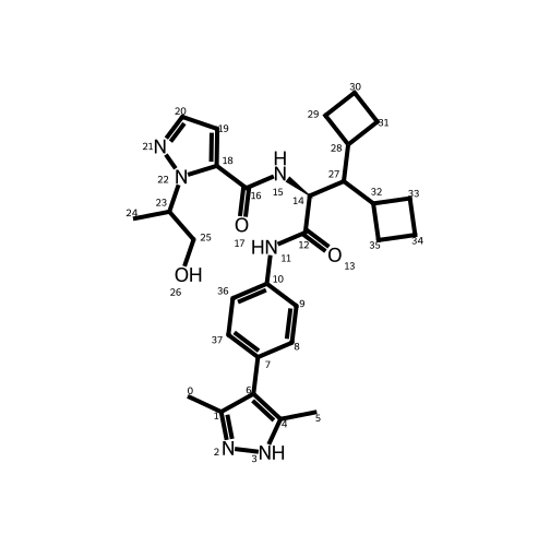 Cc1n[nH]c(C)c1-c1ccc(NC(=O)[C@@H](NC(=O)c2ccnn2C(C)CO)C(C2CCC2)C2CCC2)cc1